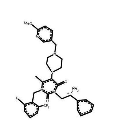 COc1ccc(CN2CCN(c3c(C)n(Cc4c(F)cccc4C(F)(F)F)c(=O)n(C[C@H](N)c4ccccc4)c3=O)CC2)cn1